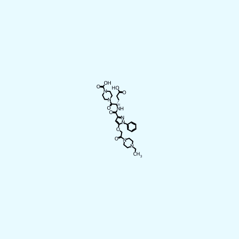 CCN1CCN(C(=O)COc2cc(C(=O)N[C@@H](CCC(=O)O)C(=O)N3CCN(C(=O)O)CC3)nn2-c2ccccc2)CC1